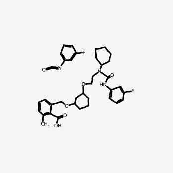 Cc1cccc(COC2CCCC(OCCN(C(=O)Nc3cccc(F)c3)C3CCCCC3)C2)c1C(=O)O.O=C=Nc1cccc(F)c1